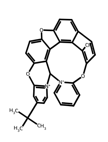 Cc1c2ccc3ccc4oc5ccc6c(c5c4c13)C([n+]1ccccc1O2)[n+]1ccc(C(C)(C)C)cc1O6